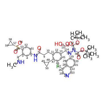 CNCc1cc(NC(=O)CCc2cc(C(C(=O)O)N(c3ccc4cncc(F)c4c3)N(C(=O)OC(C)(C)C)C(=O)OC(C)(C)C)ccc2C2CC2)ccc1S(=O)(=O)C1CC1